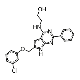 OCCNc1nc(-c2ccccc2)nc2[nH]c(COc3cccc(Cl)c3)cc12